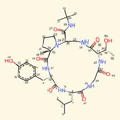 CC(C)C[C@@H]1NC(=O)[C@H](Cc2ccc(O)cc2)NC(=O)[C@@H]2CCCN2[C@@H](C(=O)NC(C)(C)C)CNC(=O)[C@H]([C@@H](C)O)NC(=O)CNC1=O